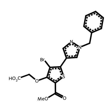 COC(=O)c1sc(-c2cnn(Cc3ccccc3)c2)c(Br)c1OCC(=O)O